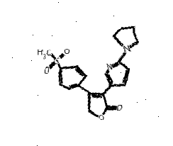 CS(=O)(=O)c1ccc(C2=C(c3ccc(N4CCCC4)nc3)C(=O)OC2)cc1